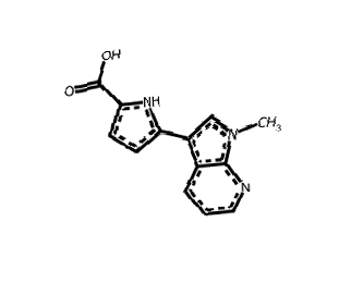 Cn1cc(-c2ccc(C(=O)O)[nH]2)c2cccnc21